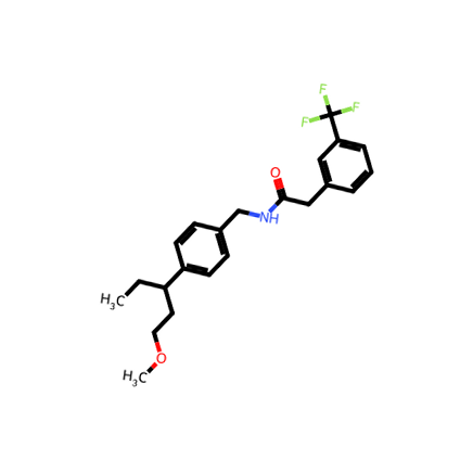 CCC(CCOC)c1ccc(CNC(=O)Cc2cccc(C(F)(F)F)c2)cc1